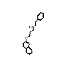 c1ccc(CCNCCCOc2ccc3ccccc3n2)cc1